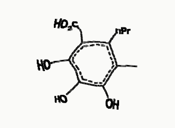 CCCc1c(C)c(O)c(O)c(O)c1C(=O)O